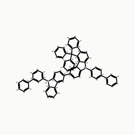 c1ccc(-c2ccc(-n3c4ccc(-c5ccc6c(c5)c5ccccc5n6-c5cccc(-c6ccccc6)c5)cc4c4c5c(ccc43)-c3ccccc3C5(c3ccccc3)c3ccccc3)cc2)cc1